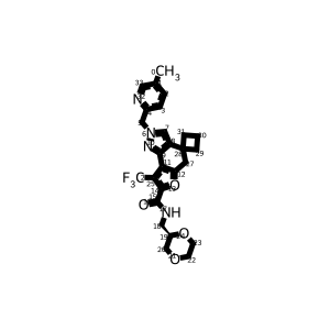 Cc1ccc(Cn2cc3c(n2)-c2c(oc(C(=O)NC[C@@H]4COCCO4)c2C(F)(F)F)CC32CCC2)nc1